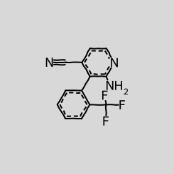 N#Cc1ccnc(N)c1-c1ccccc1C(F)(F)F